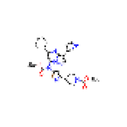 Cn1ccc(-c2cnn3c(N(C(=O)OC(C)(C)C)c4cc(C5CCN(C(=O)OC(C)(C)C)CC5)ns4)cc(C4CCCCC4)nc23)c1